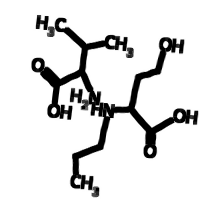 CC(C)C(N)C(=O)O.CCCNC(CCO)C(=O)O